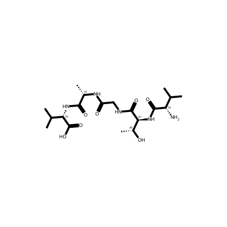 CC(C)[C@H](N)C(=O)N[C@H](C(=O)NCC(=O)N[C@@H](C)C(=O)N[C@H](C(=O)O)C(C)C)[C@@H](C)O